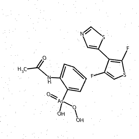 CC(=O)Nc1ccccc1[As](=O)(O)OO.Fc1csc(F)c1-c1cncs1